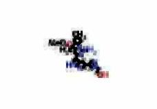 COCOC(C)(c1cccc(C)c1)c1cc(-c2c[nH]c3ncc(-c4cnn(CCO)c4)cc23)nc(N)n1